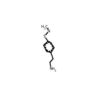 C=NSc1ccc(CCN)cc1